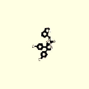 O=c1n(Cc2cccc3c2OCC3)nc2c(-c3ccc(Cl)cc3)c(-c3ccc(Cl)cc3)cnn12